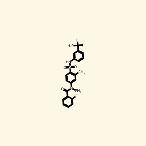 Cc1cc(N(P)C(=O)c2ccccc2Cl)ccc1S(=O)(=O)Nc1cccc(C(F)(F)P)c1